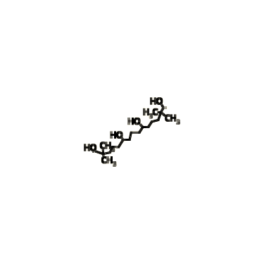 CC(C)([CH]O)CCCC(O)CCCC(O)CCCC(C)(C)[CH]O